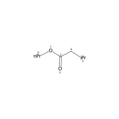 CC[CH]OC(=O)CC(C)C